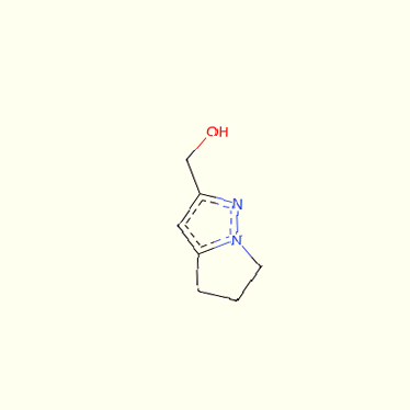 OCc1cc2n(n1)CCC2